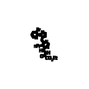 CCCc1c(Cc2ccnn2-c2ncccc2Br)ncnc1NNC(=O)C(=O)OCC